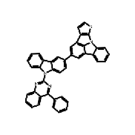 c1ccc(-c2nc(-n3c4ccccc4c4cc(-c5cc6c7ccccc7n7c8sccc8c(c5)c67)ccc43)nc3ccccc23)cc1